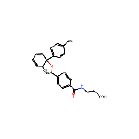 CCCCCCC(OC1(c2ccc(C(C)(C)C)cc2)C=CC=CC1C(F)(F)F)c1ccc(C(=O)NCCC(=O)O)cc1